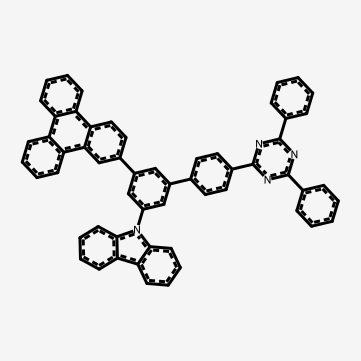 c1ccc(-c2nc(-c3ccccc3)nc(-c3ccc(-c4cc(-c5ccc6c7ccccc7c7ccccc7c6c5)cc(-n5c6ccccc6c6ccccc65)c4)cc3)n2)cc1